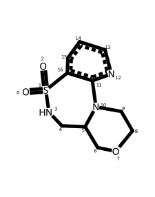 O=S1(=O)NCC2COCCN2c2ncccc21